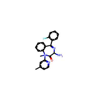 Cc1ccnc([N+]2(C)C(=O)C(N)N=C(c3ccccc3F)c3ccccc32)c1